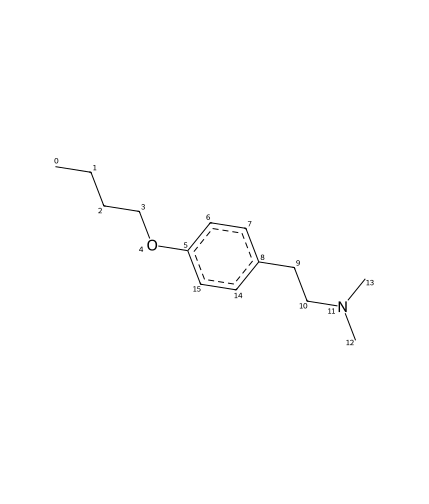 CCCCOc1ccc(CCN(C)C)cc1